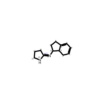 C1=CCC2C(=C1)CCC2/N=C1\CCCN1